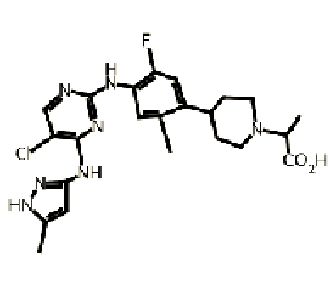 Cc1cc(Nc2nc(Nc3cc(C)c(C4CCN(C(C)C(=O)O)CC4)cc3F)ncc2Cl)n[nH]1